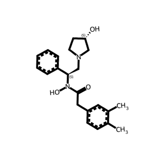 Cc1ccc(CC(=O)N(O)[C@H](CN2CC[C@H](O)C2)c2ccccc2)cc1C